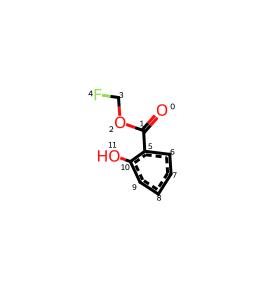 O=C(OCF)c1ccccc1O